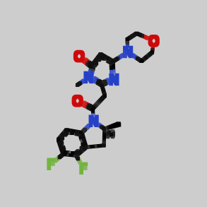 C[C@H]1Cc2c(ccc(F)c2F)N1C(=O)Cc1nc(N2CCOCC2)cc(=O)n1C